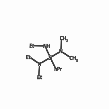 CCC[Si](NCC)(N(C)C)N(CC)CC